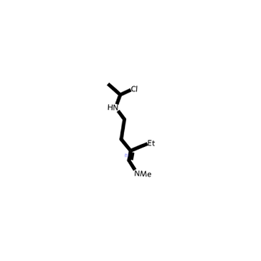 CC/C(=C\NC)CCNC(C)Cl